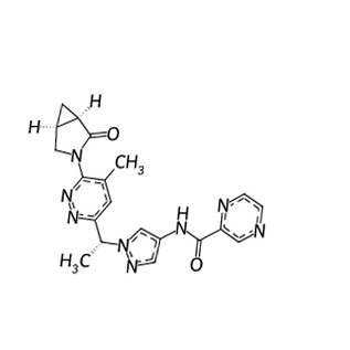 Cc1cc([C@@H](C)n2cc(NC(=O)c3cnccn3)cn2)nnc1N1C[C@H]2C[C@H]2C1=O